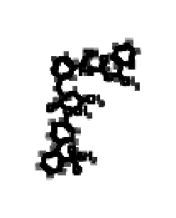 CC(C)CN(Cc1cccc(C(=N)NC(=O)OC(C)c2ccccn2)c1)C(=O)Oc1ccc(-c2ccccc2S(N)(=O)=O)cc1